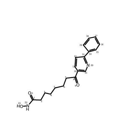 O=C(CCCCCCC(=O)c1ccc(-c2ccccc2)nc1)NO